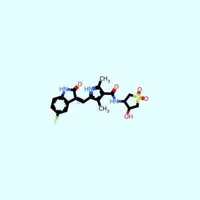 Cc1[nH]c(/C=C2\C(=O)Nc3ccc(F)cc32)c(C)c1C(=O)NC1CS(=O)(=O)CC1O